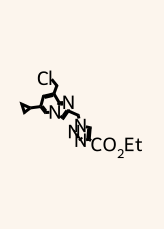 CCOC(=O)c1cn(Cc2cn3cc(C4CC4)cc(CCl)c3n2)nn1